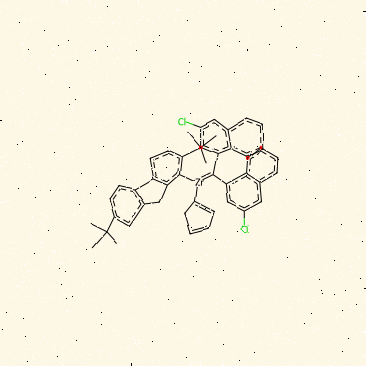 CC(C)(C)c1ccc2c(c1)Cc1c-2ccc(C(C)(C)C)[c]1[Zr]([C]1=CC=CC1)=[C](c1cc(Cl)cc2ccccc12)c1cc(Cl)cc2ccccc12